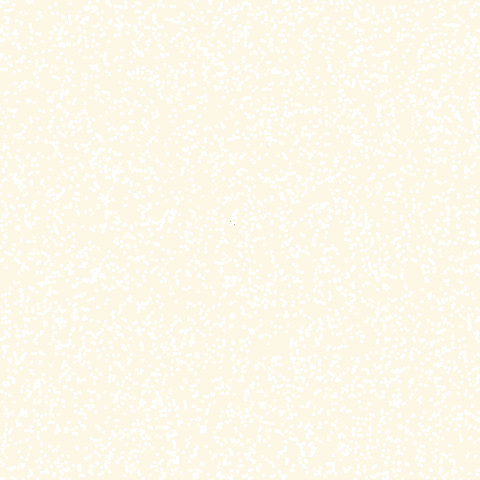 COc1ccc(Nc2ccc(F)cc2C(=O)O)cc1